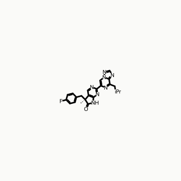 CC(C)Cc1nc(-c2ncc3c(n2)NC(=O)[C@@]3(C)Cc2ccc(F)cc2)cn2ncnc12